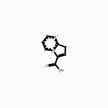 O=C(O)C1=CCc2nccc[n+]21